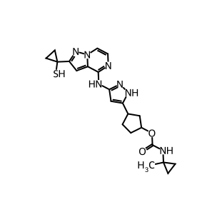 CC1(NC(=O)OC2CCC(c3cc(Nc4nccn5nc(C6(S)CC6)cc45)n[nH]3)C2)CC1